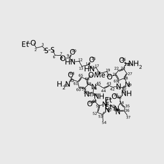 CCOCCSSCCOC(=O)NCCC(=O)NCCCOc1cc(C(N)=O)cc2nc(NC(=O)c3cc(C)nn3CC)n(C/C=C/Cn3c(NC(=O)c4cc(C)nn4CC)nc4cc(C(N)=O)cc(OC)c43)c12